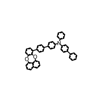 c1ccc(-c2ccc(N(c3ccccc3)c3ccc(-c4ccc(-c5cccc6c5Oc5cccc7cccc(c57)O6)cc4)cc3)cc2)cc1